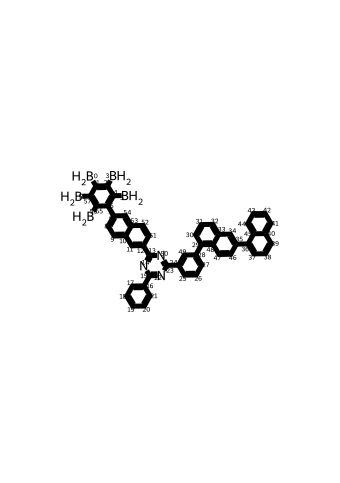 Bc1c(B)c(B)c(-c2ccc3cc(-c4nc(-c5ccccc5)nc(-c5cccc(-c6cccc7cc(-c8cccc9ccccc89)ccc67)c5)n4)ccc3c2)c(B)c1B